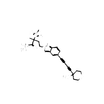 CC(CCn1cc2cc(C#CC#CC3(O)CCOCC3)ccc2n1)(C(=O)NO)S(C)(=O)=O